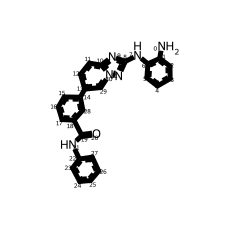 Nc1ccccc1Nc1nc2ccc(-c3cccc(C(=O)Nc4ccccc4)c3)cn2n1